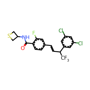 O=C(NC1CSC1)c1ccc(C=CC(c2cc(Cl)cc(Cl)c2)C(F)(F)F)cc1F